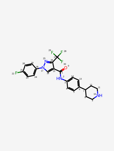 O=C(Nc1ccc(C2CCNCC2)cc1)c1cn(-c2ccc(F)cc2)nc1C(F)(F)F